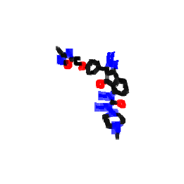 Cc1noc(COc2ccc(-c3[nH]nc4c3C(=O)c3c(NC(=O)NN5CCN(C)CC5)cccc3-4)cc2)n1